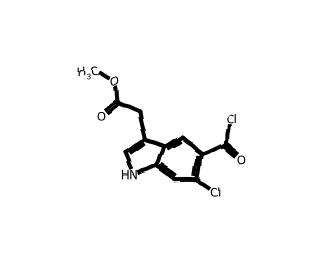 COC(=O)Cc1c[nH]c2cc(Cl)c(C(=O)Cl)cc12